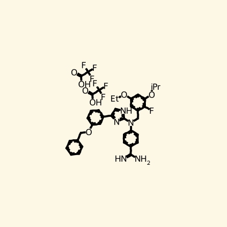 CCOc1cc(CN(c2ccc(C(=N)N)cc2)c2nc(-c3cccc(OCc4ccccc4)c3)c[nH]2)c(F)c(OC(C)C)c1.O=C(O)C(F)(F)F.O=C(O)C(F)(F)F